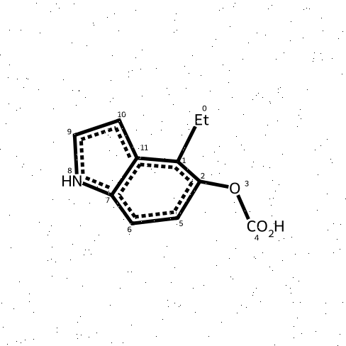 CCc1c(OC(=O)O)ccc2[nH]ccc12